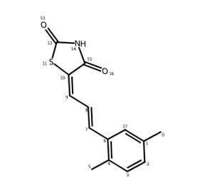 Cc1ccc(C)c(C=CC=C2SC(=O)NC2=O)c1